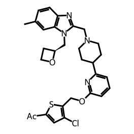 CC(=O)c1cc(Cl)c(COc2cccc(C3CCN(Cc4nc5ccc(C)cc5n4C[C@@H]4CCO4)CC3)n2)s1